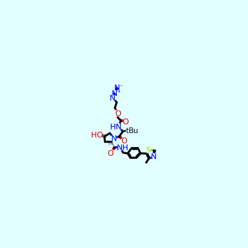 Cc1ncsc1-c1ccc(CNC(=O)[C@@H]2C[C@@H](O)CN2C(=O)C(NC(=O)COCCN=[N+]=[N-])C(C)(C)C)cc1